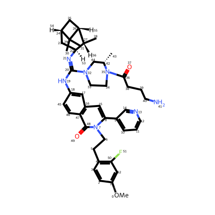 COc1ccc(CCn2c(-c3cccnc3)cc3cc(N/C(=N/[C@H]4C[C@@H]5C[C@H]([C@@H]4C)C5(C)C)N4CCN(C(=O)CCCN)[C@@H](C)C4)ccc3c2=O)c(F)c1